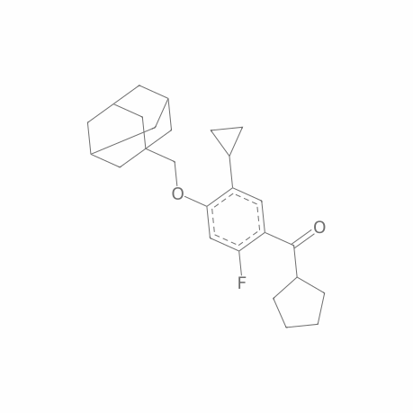 O=C(c1cc(C2CC2)c(OCC23CC4CC(CC(C4)C2)C3)cc1F)C1CCCC1